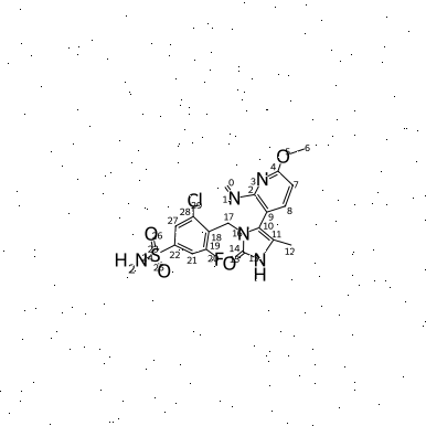 C=Nc1nc(OC)ccc1-c1c(C)[nH]c(=O)n1Cc1c(F)cc(S(N)(=O)=O)cc1Cl